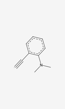 [C]#Cc1ccccc1N(C)C